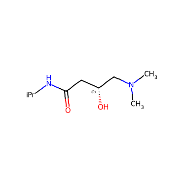 CC(C)NC(=O)C[C@@H](O)CN(C)C